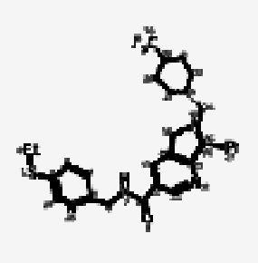 CCSc1ccc(CNC(=O)c2cnc3c(c2)CN(C[C@H]2CC[C@H](C(F)(F)F)CC2)[C@H]3C(C)C)nc1